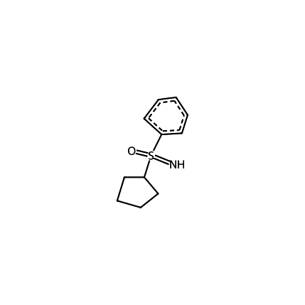 N=S(=O)(c1ccccc1)C1CCCC1